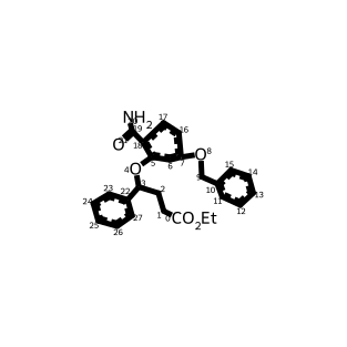 CCOC(=O)CCC(Oc1cc(OCc2ccccc2)ccc1C(N)=O)c1ccccc1